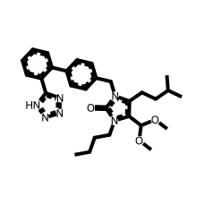 CCCCn1c(C(OC)OC)c(CCC(C)C)n(Cc2ccc(-c3ccccc3-c3nnn[nH]3)cc2)c1=O